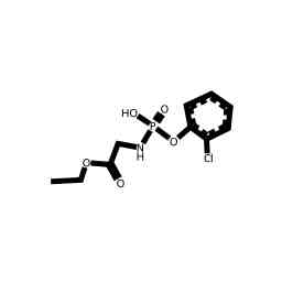 CCOC(=O)CNP(=O)(O)Oc1ccccc1Cl